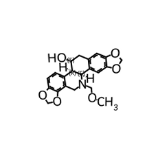 COCN1Cc2c(ccc3c2OCO3)[C@@H]2[C@H]1c1cc3c(cc1C[C@@H]2O)OCO3